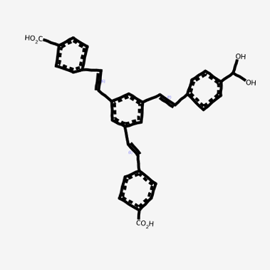 O=C(O)c1ccc(/C=C/c2cc(/C=C/c3ccc(C(=O)O)cc3)cc(/C=C/c3ccc(C(O)O)cc3)c2)cc1